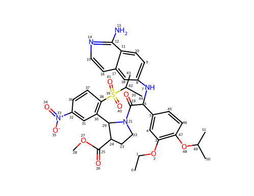 CCOc1cc(C(Nc2ccc3c(N)nccc3c2)C(=O)N2CCC(C(=O)OC)C2c2cc([N+](=O)[O-])ccc2S(=O)(=O)C(C)C)ccc1OC(C)C